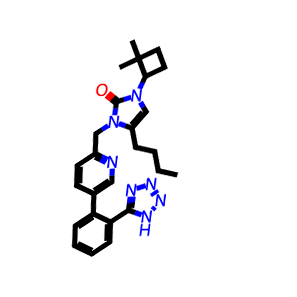 CCCCc1cn(C2CCC2(C)C)c(=O)n1Cc1ccc(-c2ccccc2-c2nnn[nH]2)cn1